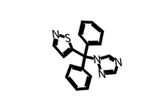 c1ccc(C(c2ccccc2)(c2ccns2)n2cncn2)cc1